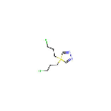 ClCCCS1(CCCCl)C=NN=C1